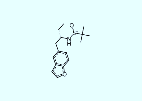 CC[C@@H](Cc1ccc2occc2c1)N[S+]([O-])C(C)(C)C